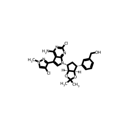 Cn1cc(Cl)c(-c2cn([C@@H]3C[C@H](c4cccc(CO)c4)[C@H]4OC(C)(C)O[C@H]43)c3nc(Cl)nc(N)c23)n1